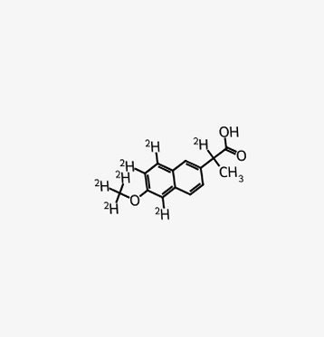 [2H]c1c(OC([2H])([2H])[2H])c([2H])c2ccc(C([2H])(C)C(=O)O)cc2c1[2H]